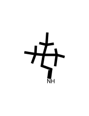 CC(C)(C)C(CC=N)(C(C)(C)C)C(C)(C)C